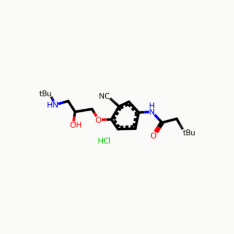 CC(C)(C)CC(=O)Nc1ccc(OCC(O)CNC(C)(C)C)c(C#N)c1.Cl